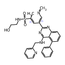 C=N/C=C(\C=C(/C)S(=O)(=O)NCCO)c1nc(NCc2ccccn2)c2c(-c3ccccc3)cccc2n1